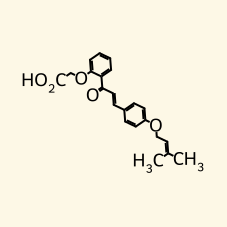 CC(C)=CCOc1ccc(C=CC(=O)c2ccccc2OCC(=O)O)cc1